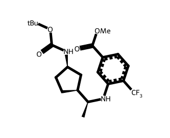 COC(=O)c1ccc(C(F)(F)F)c(N[C@@H](C)[C@H]2CC[C@@H](NC(=O)OC(C)(C)C)C2)c1